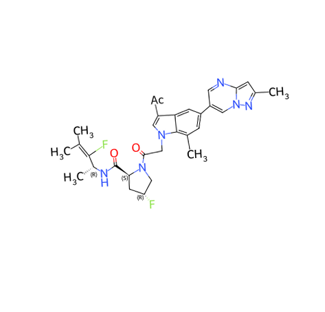 CC(=O)c1cn(CC(=O)N2C[C@H](F)C[C@H]2C(=O)N[C@H](C)C(F)=C(C)C)c2c(C)cc(-c3cnc4cc(C)nn4c3)cc12